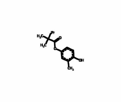 Cc1cc(OC(=O)C(C)(C)C(C)C)ccc1O